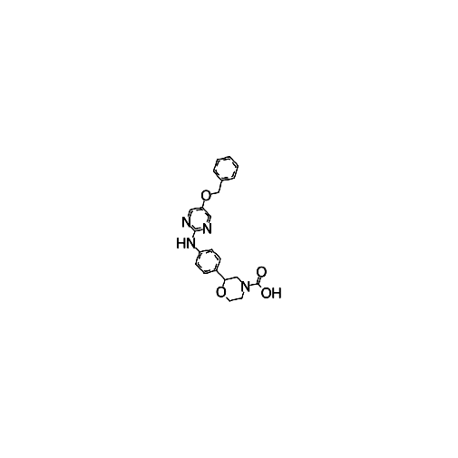 O=C(O)N1CCOC(c2ccc(Nc3ncc(OCc4ccccc4)cn3)cc2)C1